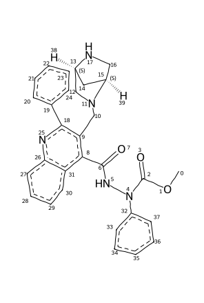 COC(=O)N(NC(=O)c1c(CN2C[C@@H]3C[C@H]2CN3)c(-c2ccccc2)nc2ccccc12)c1ccccc1